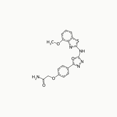 COc1cccc2sc(Nc3nnc(-c4ccc(OCC(N)=O)cc4)o3)nc12